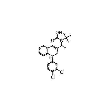 CC(C1=Cc2ccccc2[C@H](c2ccc(Cl)c(Cl)c2)C1)N(C(=O)O)C(C)(C)C